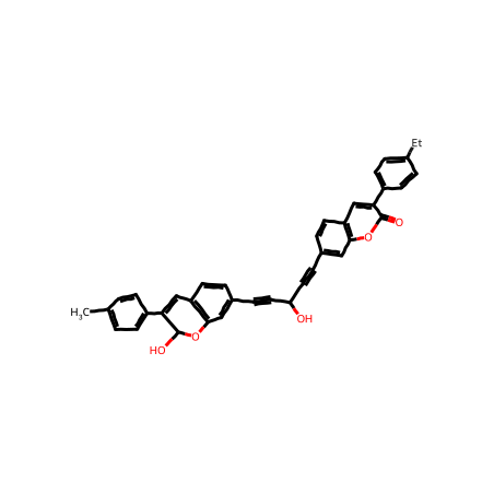 CCc1ccc(-c2cc3ccc(C#CC(O)C#Cc4ccc5c(c4)OC(O)C(c4ccc(C)cc4)=C5)cc3oc2=O)cc1